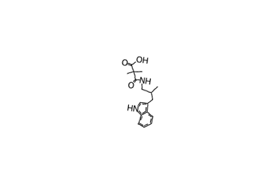 CC(CNC(=O)C(C)(C)C(=O)O)Cc1c[nH]c2ccccc12